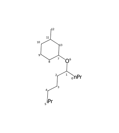 CCCC(CCCC(C)C)OC1CCCC(C)C1